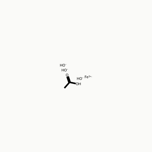 CC(=O)O.[Fe+3].[OH-].[OH-].[OH-]